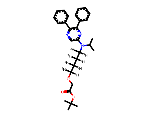 [2H]C([2H])(OCC(=O)OC(C)(C)C)C([2H])([2H])C([2H])([2H])C([2H])([2H])N(c1cnc(-c2ccccc2)c(-c2ccccc2)n1)C(C)C